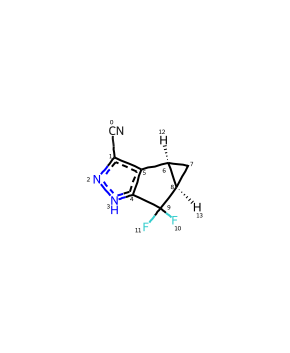 N#Cc1n[nH]c2c1[C@H]1C[C@H]1C2(F)F